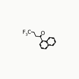 O=C(CCC(F)(F)F)c1cccc2ccccc12